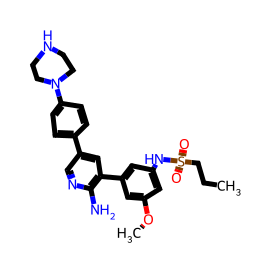 CCCS(=O)(=O)Nc1cc(OC)cc(-c2cc(-c3ccc(N4CCNCC4)cc3)cnc2N)c1